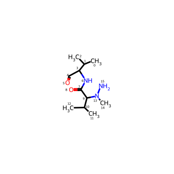 CC(C)C(C=O)NC(=O)C(C(C)C)N(C)N